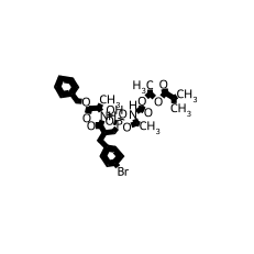 CC(NC(=O)OC(C)OC(=O)C(C)C)OP(=O)(CC(Cc1ccc(Br)cc1)C(=O)NC(C)C(=O)OCc1ccccc1)OO